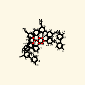 Cc1ccc2c(c1)c1cc(C)ccc1n2-c1ccc(-c2nc(-c3ccc(-n4c5ccc(C)cc5c5cc(C)ccc54)cc3)c(-n3c4ccc(C#N)cc4c4cc(C#N)ccc43)c(-c3ccccc3-c3ccc(-c4ccccc4)nc3-c3ccccc3)c2-n2c3ccc(C#N)cc3c3cc(C#N)ccc32)cc1